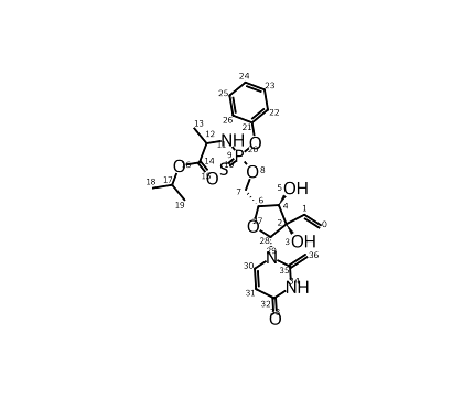 C=C[C@@]1(O)[C@H](O)[C@@H](COP(=S)(NC(C)C(=O)OC(C)C)Oc2ccccc2)O[C@H]1N1C=CC(=O)NC1=C